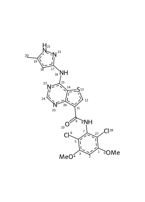 COc1cc(OC)c(Cl)c(NC(=O)c2csc3c(Nc4cc(C)[nH]n4)ncnc23)c1Cl